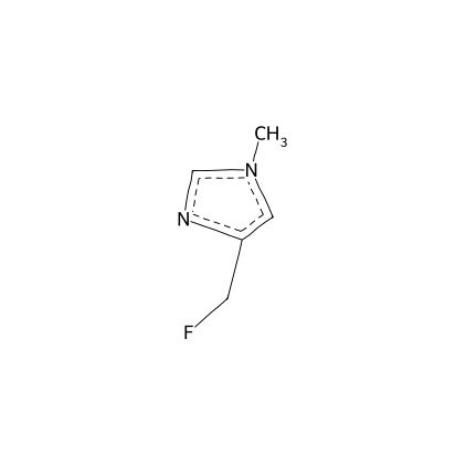 Cn1cnc(CF)c1